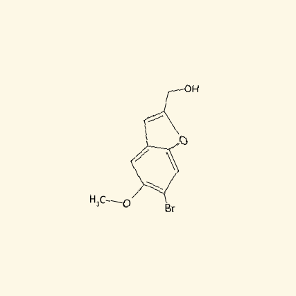 COc1cc2cc(CO)oc2cc1Br